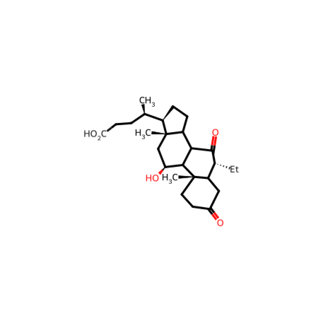 CC[C@H]1C(=O)C2C([C@@H](O)C[C@@]3(C)C2CC[C@@H]3[C@H](C)CCC(=O)O)[C@@]2(C)CCC(=O)CC12